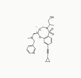 CC(CO)N1C[C@@H](C)[C@H](CN(C)Cc2cccnc2)Oc2cc(C#CC3CC3)ccc2S1(=O)=O